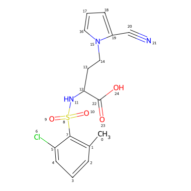 Cc1cccc(Cl)c1S(=O)(=O)NC(CCn1cccc1C#N)C(=O)O